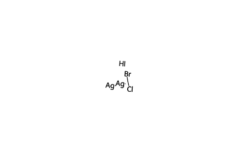 ClBr.I.[Ag].[Ag]